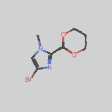 Cn1cc(Br)nc1C1OCCCO1